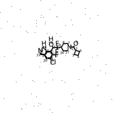 O=C(C1CCC1)N1CCC(C(F)(F)C(O)c2c(F)c(Cl)cc3cn[nH]c23)CC1